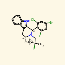 C[C@@H]1Cc2c([nH]c3ccccc23)[C@@H](c2c(Cl)cc(Br)cc2Cl)N1CC(C)(C)F